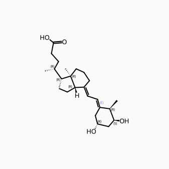 C[C@H](CCC(=O)O)[C@H]1CC[C@H]2C(=C/C=C3\C[C@@H](O)C[C@H](O)[C@@H]3C)CCC[C@]12C